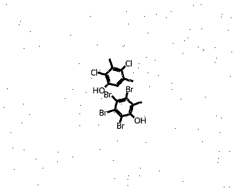 Cc1c(O)c(Br)c(Br)c(Br)c1Br.Cc1cc(O)c(Cl)c(C)c1Cl